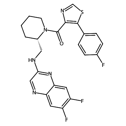 O=C(c1ncsc1-c1ccc(F)cc1)N1CCCC[C@H]1CNc1cnc2cc(F)c(F)cc2n1